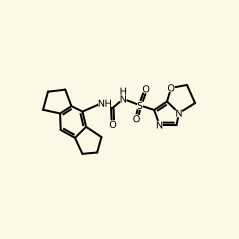 O=C(Nc1c2c(cc3c1CCC3)CCC2)NS(=O)(=O)c1ncn2c1OCC2